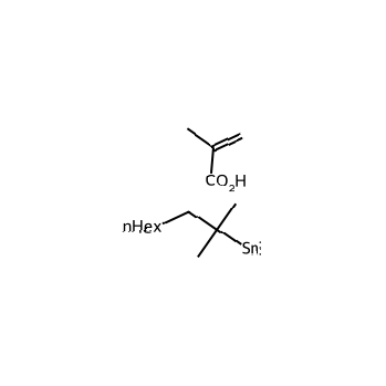 C=C(C)C(=O)O.CCCCCCC[C](C)(C)[Sn]